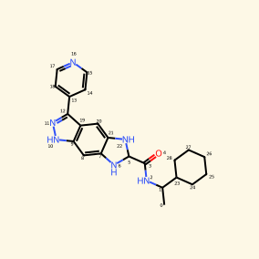 CC(NC(=O)C1Nc2cc3[nH]nc(-c4ccncc4)c3cc2N1)C1CCCCC1